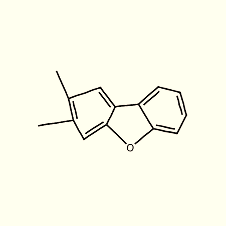 Cc1cc2oc3ccccc3c2cc1C